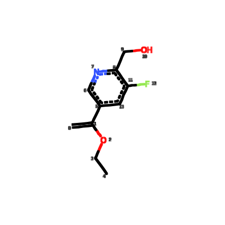 C=C(OCC)c1cnc(CO)c(F)c1